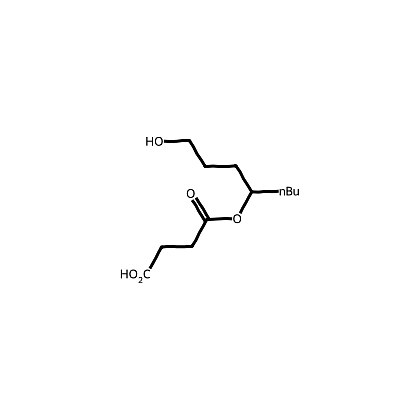 CCCCC(CCCO)OC(=O)CCC(=O)O